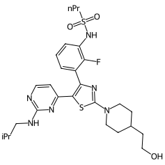 CCCS(=O)(=O)Nc1cccc(-c2nc(N3CCC(CCO)CC3)sc2-c2ccnc(NCC(C)C)n2)c1F